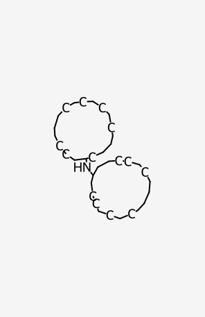 C1CCCCCCCCC(NC2CCCCCCCCCCCCCCCCC2)CCCCCCCC1